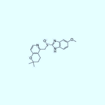 COc1ccc2[nH]c([S+]([O-])Cc3nccc4c3CCC(C)(C)O4)nc2c1